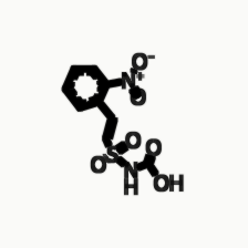 O=C(O)NS(=O)(=O)C=Cc1ccccc1[N+](=O)[O-]